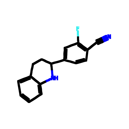 N#Cc1ccc(C2CCc3ccccc3N2)cc1F